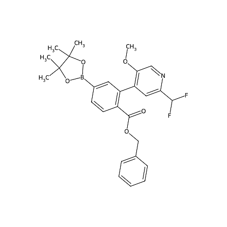 COc1cnc(C(F)F)cc1-c1cc(B2OC(C)(C)C(C)(C)O2)ccc1C(=O)OCc1ccccc1